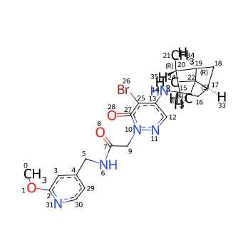 COc1cc(CNC(=O)Cn2ncc(N[C@@H]3C[C@@H]4C[C@H]([C@H]3C)C4(C)C)c(Br)c2=O)ccn1